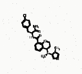 CN(c1cncn1C)C1CCOc2c(C(=O)N[C@@H](Cc3ccc(Cl)cc3)C(N)=O)cccc21